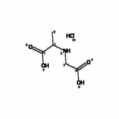 CC(NCC(=O)O)C(=O)O.Cl